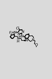 COCCN1CCc2ccc(Nc3ncc(Cl)c(Nc4c(F)cccc4CNCCC#N)n3)cc2CC1